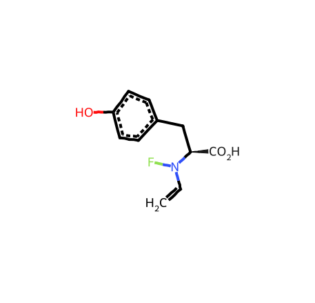 C=CN(F)[C@@H](Cc1ccc(O)cc1)C(=O)O